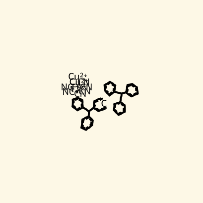 N#[C][Fe-4]([C]#N)([C]#N)([C]#N)([C]#N)[C]#N.[Cu+2].[Cu+2].c1ccc(C(c2ccccc2)c2ccccc2)cc1.c1ccc(C(c2ccccc2)c2ccccc2)cc1